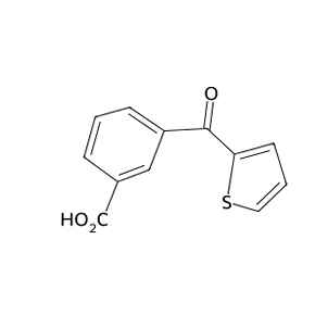 O=C(O)c1cccc(C(=O)c2cccs2)c1